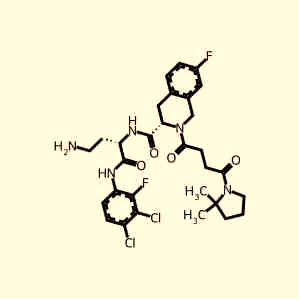 CC1(C)CCCN1C(=O)CCC(=O)N1Cc2cc(F)ccc2C[C@H]1C(=O)N[C@@H](CCN)C(=O)Nc1ccc(Cl)c(Cl)c1F